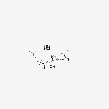 CC(C)CCCC(C)(C)NC[C@@H](O)[C@@H](N)Cc1ccc(F)c(F)c1.Cl.Cl